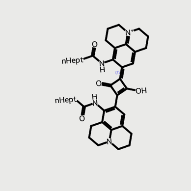 CCCCCCCC(=O)Nc1c(C2=C(O)/C(=c3\cc4c5c(c3NC(=O)CCCCCCC)CCC[N+]=5CCC4)C2=O)cc2c3c1CCCN3CCC2